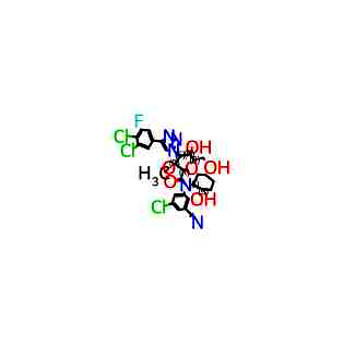 CO[C@@H]1[C@@H](n2cc(-c3cc(F)c(Cl)c(Cl)c3)nn2)[C@@H](O)[C@@H](CO)O[C@H]1C(=O)N(c1cc(Cl)cc(C#N)c1)[C@H]1CCCC[C@@H]1O